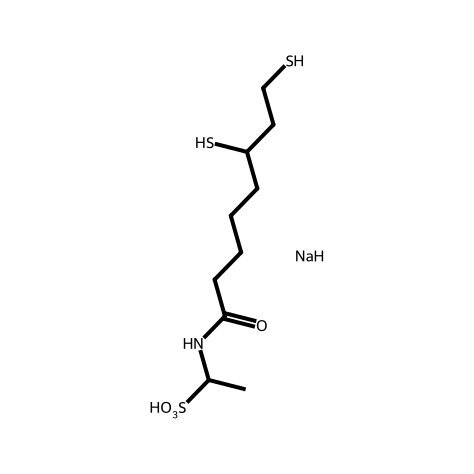 CC(NC(=O)CCCCC(S)CCS)S(=O)(=O)O.[NaH]